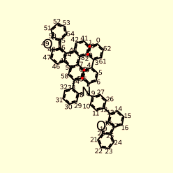 c1ccc(-c2ccc(N(c3ccc(-c4cccc5c4oc4ccccc45)cc3)c3ccccc3-c3ccc4c5ccccc5c5c(ccc6oc7ccccc7c65)c4c3)cc2)cc1